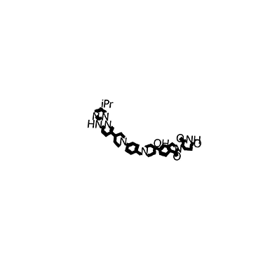 CC(C)c1cnc(Nc2ccc(C3CCN(c4ccc(CN5CCC(O)(c6ccc7c(c6)CN(C6CCC(=O)NC6=O)C7=O)CC5)cc4)CC3)cn2)nc1